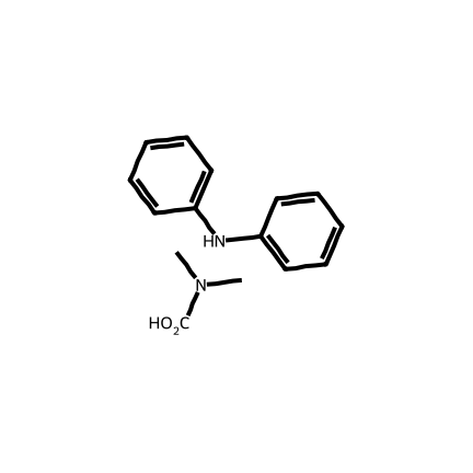 CN(C)C(=O)O.c1ccc(Nc2ccccc2)cc1